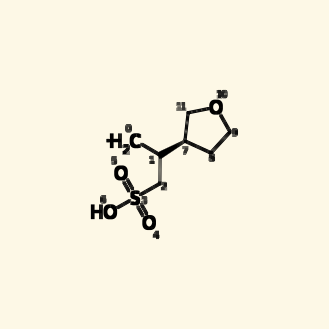 [CH2]C(CS(=O)(=O)O)[C@@H]1CCOC1